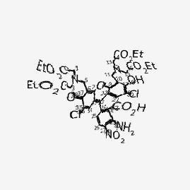 CCOC(=O)CN(CC(=O)OCC)Cc1c2oc3c(CN(CC(=O)OCC)CC(=O)OCC)c(O)c(Cl)cc3c(-c3ccc([N+](=O)[O-])c(N)c3C(=O)O)c-2cc(Cl)c1=O